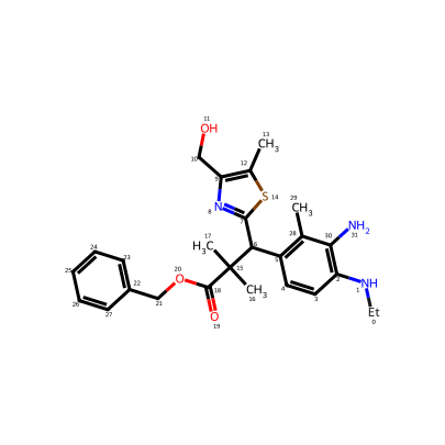 CCNc1ccc(C(c2nc(CO)c(C)s2)C(C)(C)C(=O)OCc2ccccc2)c(C)c1N